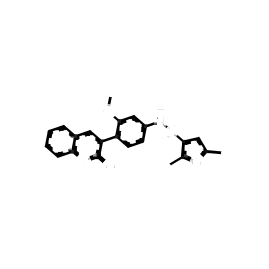 COc1cc(NS(=O)(=O)c2cc(C)oc2C)ccc1-c1cc2ccccc2oc1=O